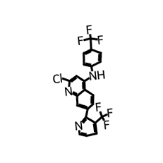 FC(F)(F)c1ccc(Nc2cc(Cl)nc3cc(-c4ncccc4C(F)(F)F)ccc23)cc1